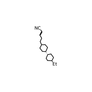 CC[C@H]1CC[C@H](C2CCC(CC/C=C/C#N)CC2)CC1